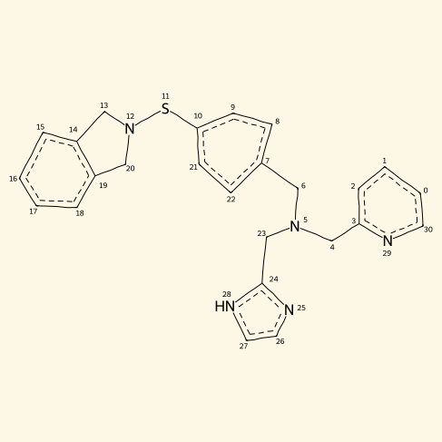 c1ccc(CN(Cc2ccc(SN3Cc4ccccc4C3)cc2)Cc2ncc[nH]2)nc1